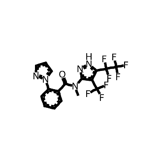 CN(C(=O)c1ccccc1-n1cccn1)c1n[nH]c(C(F)(F)C(F)(F)F)c1C(F)(F)F